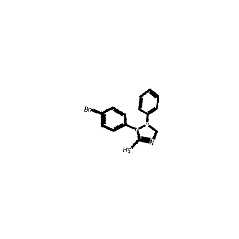 SC1=NCN(c2ccccc2)N1c1ccc(Br)cc1